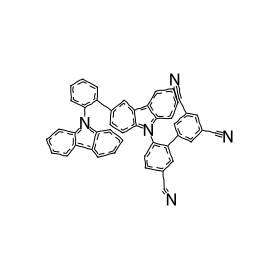 N#Cc1cc(C#N)cc(-c2cc(C#N)ccc2-n2c3ccccc3c3cc(-c4ccccc4-n4c5ccccc5c5ccccc54)ccc32)c1